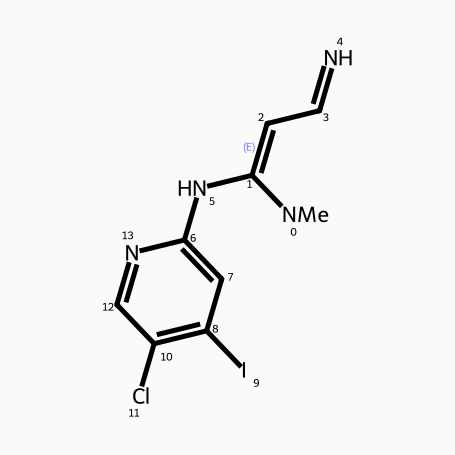 CN/C(=C\C=N)Nc1cc(I)c(Cl)cn1